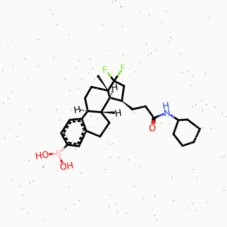 C[C@]12CC[C@@H]3c4ccc(B(O)O)cc4CC[C@H]3[C@@H]1[C@H](CCC(=O)NC1CCCCC1)CC2(F)F